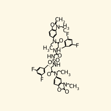 C=C1Oc2ccc(N(CC)C(=O)[C@H](Cc3cc(F)cc(F)c3)NC(=O)NS(=O)(=O)N[C@@H](Cc3cc(F)cc(F)c3)C(=O)N(CC)c3ccc4oc(=O)n(CC)c4c3)cc2N1CC